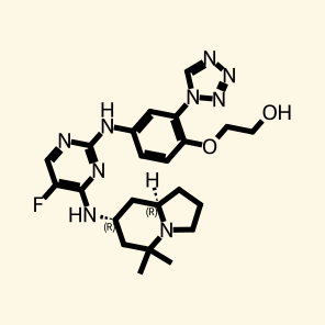 CC1(C)C[C@H](Nc2nc(Nc3ccc(OCCO)c(-n4cnnn4)c3)ncc2F)C[C@H]2CCCN21